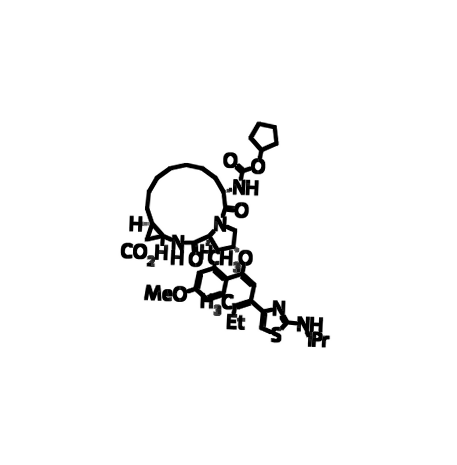 CC/C(C)=C(/C=C(/O[C@@H]1C[C@H]2C(=O)NC3(C(=O)O)C[C@H]3CCCCCCC[C@H](NC(=O)OC3CCCC3)C(=O)N2C1)c1ccc(OC)cc1C)c1csc(NC(C)C)n1